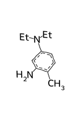 CCN(CC)c1ccc(C)c(N)c1